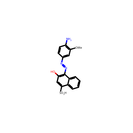 COc1cc(/N=N/c2c(O)cc(S(=O)(=O)O)c3ccccc23)ccc1N